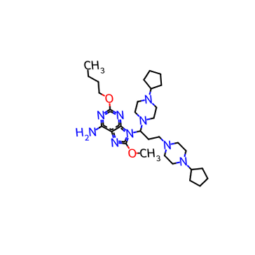 CCCCOc1nc(N)c2nc(OC)n(C(CCN3CCN(C4CCCC4)CC3)N3CCN(C4CCCC4)CC3)c2n1